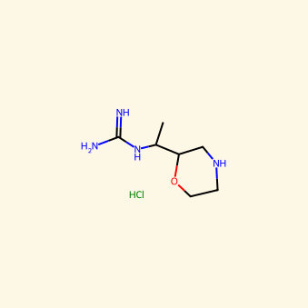 CC(NC(=N)N)C1CNCCO1.Cl